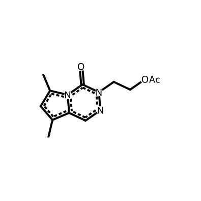 CC(=O)OCCn1ncc2c(C)cc(C)n2c1=O